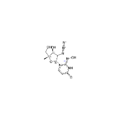 C[C@]1(CO)O[C@@H](n2ccc(=O)[nH]/c2=N\O)C(N=[N+]=[N-])[C@@H]1O